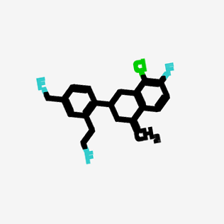 C=C1CC(c2ccc(CF)cc2CCF)Cc2c1ccc(F)c2Cl